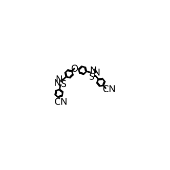 N#Cc1ccc(-c2nnc(-c3ccc(Oc4ccc(-c5nnc(-c6ccc(C#N)cc6)s5)cc4)cc3)s2)cc1